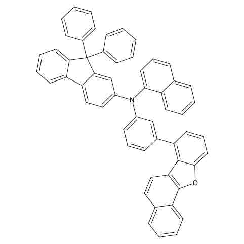 c1ccc(C2(c3ccccc3)c3ccccc3-c3ccc(N(c4cccc(-c5cccc6oc7c8ccccc8ccc7c56)c4)c4cccc5ccccc45)cc32)cc1